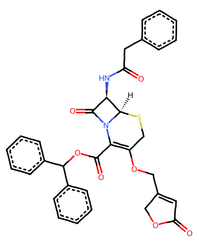 O=C(Cc1ccccc1)N[C@@H]1C(=O)N2C(C(=O)OC(c3ccccc3)c3ccccc3)=C(OCC3=CC(=O)OC3)CS[C@H]12